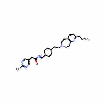 Cc1ncc(CC(=O)/N=C/C2CCC(CCN3CCc4ccc(CCC(F)(F)F)nc4CC3)CC2)cn1